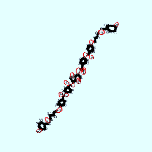 O=C(Oc1ccc(C(=O)OC2COC3C(OC(=O)c4ccc(OC(=O)c5ccc(OCCCCOCC6CCC7OC7C6)cc5)cc4)COC23)cc1)c1ccc(OCCCCOCC2CCC3OC3C2)cc1